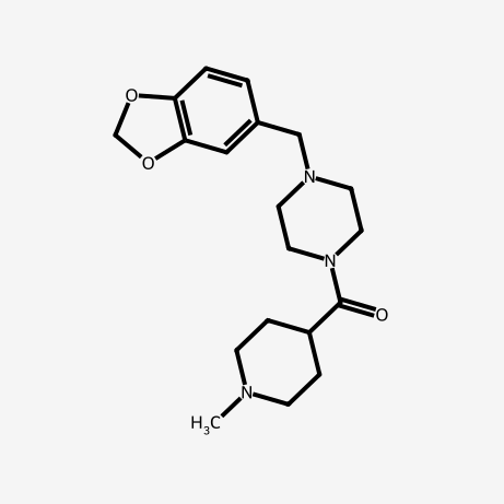 CN1CCC(C(=O)N2CCN(Cc3ccc4c(c3)OCO4)CC2)CC1